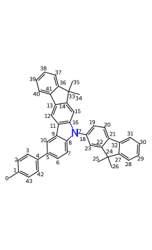 Cc1ccc(-c2ccc3c(c2)c2cc4c(cc2n3-c2ccc3c(c2)C(C)(C)c2ccccc2-3)C(C)(C)c2ccccc2-4)cc1